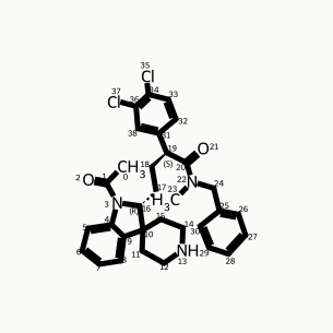 CC(=O)N1c2ccccc2C2(CCNCC2)[C@H]1CC[C@H](C(=O)N(C)Cc1ccccc1)c1ccc(Cl)c(Cl)c1